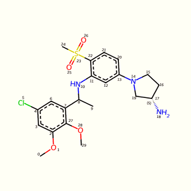 COc1cc(Cl)cc(C(C)Nc2cc(N3CC[C@H](N)C3)ccc2S(C)(=O)=O)c1OC